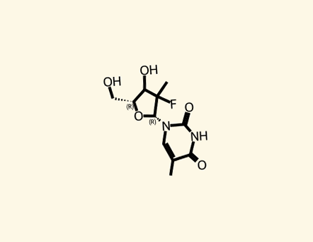 Cc1cn([C@@H]2O[C@H](CO)C(O)C2(C)F)c(=O)[nH]c1=O